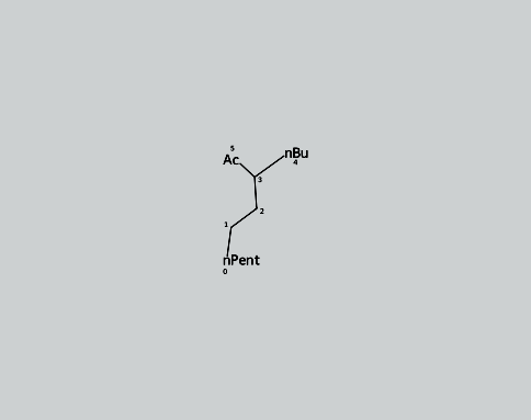 CC[CH]CCCCC(CCCC)C(C)=O